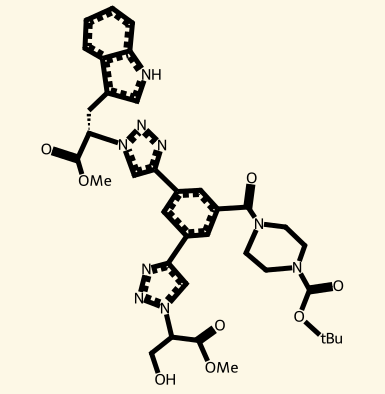 COC(=O)C(CO)n1cc(-c2cc(C(=O)N3CCN(C(=O)OC(C)(C)C)CC3)cc(-c3cn([C@@H](Cc4c[nH]c5ccccc45)C(=O)OC)nn3)c2)nn1